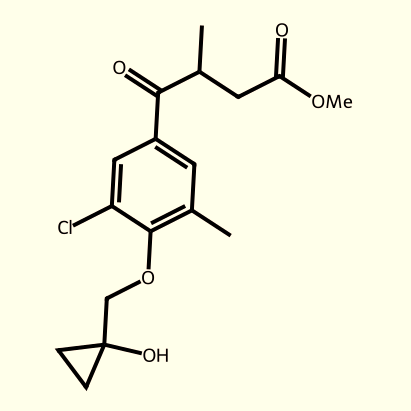 COC(=O)CC(C)C(=O)c1cc(C)c(OCC2(O)CC2)c(Cl)c1